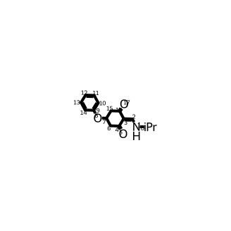 CC(C)NC=C1C(=O)CC(Oc2ccccc2)CC1=O